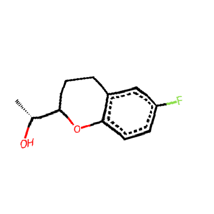 C[C@@H](O)C1CCc2cc(F)ccc2O1